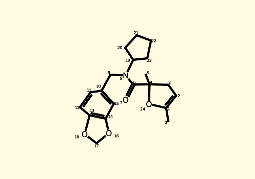 CC1=CCC(C)(C(=O)N(Cc2ccc3c(c2)OCO3)C2CCCC2)O1